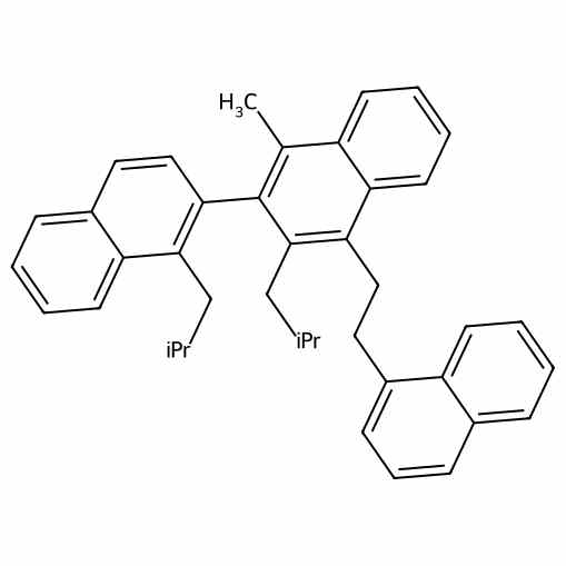 Cc1c(-c2ccc3ccccc3c2CC(C)C)c(CC(C)C)c(CCc2cccc3ccccc23)c2ccccc12